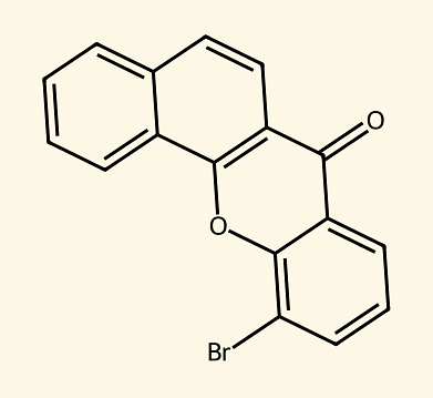 O=c1c2cccc(Br)c2oc2c1ccc1ccccc12